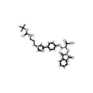 CC(C)(C)OC(=O)NCCCn1cnc(-c2ccc(OC[C@H](ON3C(=O)c4ccccc4C3=O)C(=O)O)cc2)c1